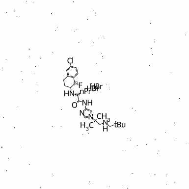 Br.Br.CCC[C@H](NC1CCc2cc(Cl)ccc2[C@@H]1F)C(=O)Nc1cn(C(C)(C)CNCC(C)(C)C)cn1